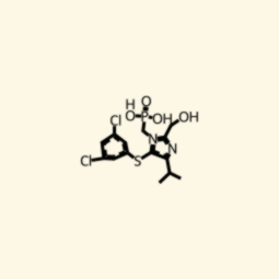 CC(C)c1nc(CO)n(CP(=O)(O)O)c1Sc1cc(Cl)cc(Cl)c1